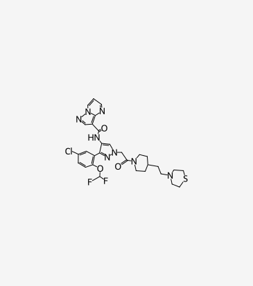 O=C(Nc1cn(CC(=O)N2CCC(CCN3CCSCC3)CC2)nc1-c1cc(Cl)ccc1OC(F)F)c1cnn2cccnc12